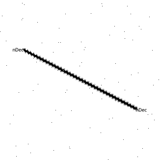 CCCCCCCCCCCCCCCCCCCCCCCCCCCCCCCCCCCCCCCCCCCCCCCCCCCCCCCCCCCCCCCCCCCCCCCCCCCCCCCCCCCCCCCCCCCCCCC